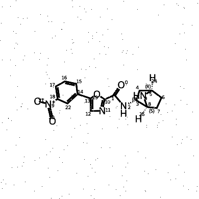 O=C(N[C@@H]1C[C@H]2CC[C@@H]1N2)c1ncc(-c2cccc([N+](=O)[O-])c2)o1